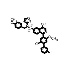 COc1ccc(CN(c2ccon2)S(=O)(=O)c2ccc3c(-c4cc(Cl)c(-c5cccc(F)c5)cc4OC)ncc(O)c3c2)cc1